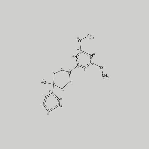 COc1cc(N2CCC(O)(c3ccccc3)CC2)nc(OC)n1